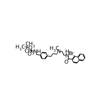 CN(CCCc1ccc(CNC(=O)OC(C)(C)C)cc1)CCNC(=O)c1ccc2ccccc2c1Br